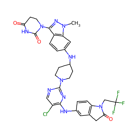 Cn1nc(N2CCC(=O)NC2=O)c2ccc(NC3CCN(c4ncc(Cl)c(Nc5ccc6c(c5)CC(=O)N6CC(F)(F)F)n4)CC3)cc21